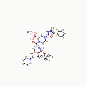 COC(=O)[C@@H]1CN(C2=N[C@@H](C)[C@H](c3ccccc3)O2)CCN1C(=O)[C@@H](CCCCN1CCCCC1)NC(=O)OC(C)(C)C